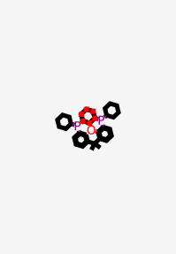 CC1(C)c2cccc(P(C3CCCCC3)C3CCCCC3)c2Oc2c(P(C3CCCCC3)C3CCCCC3)cccc21